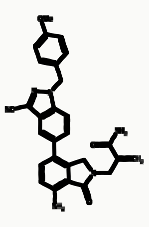 C=C(CN1Cc2c(-c3ccc4c(c3)c(C#N)nn4Cc3ccc(OC)cc3)ccc(N)c2C1=O)C(N)=O